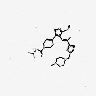 C=Nc1[nH]cc(C2=CCN(C(=O)NC(C)C)CC2)c1/C=C(\C)c1ccc(CN2CCN(C)CC2)s1